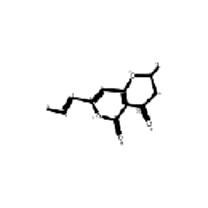 C/C=C/c1cc2c(c(=O)o1)C(=O)CC(C)O2